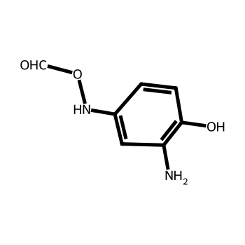 Nc1cc(NOC=O)ccc1O